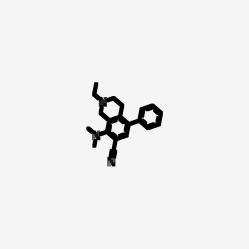 CCN1CCc2c(-c3ccccc3)cc(C#N)c(N(C)C)c2C1